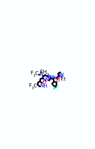 CCn1nccc1C(=O)NC(c1cn2nc(CC3C[C@@H](C(F)(F)F)CNC3=O)c(N(C)CC(F)(F)F)cc2n1)C1CCC(F)(F)CC1